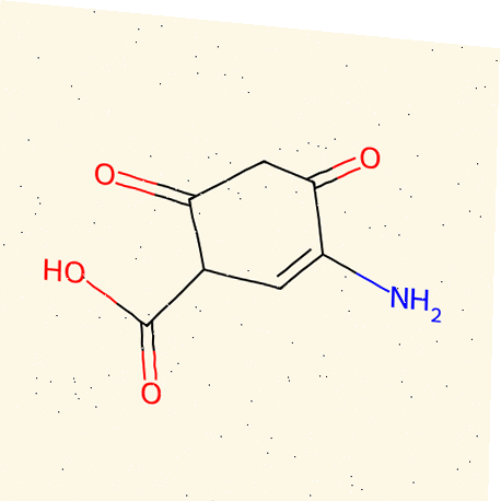 NC1=CC(C(=O)O)C(=O)CC1=O